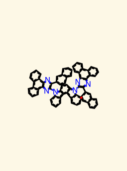 c1ccc2cc(-c3nc4c5ccccc5c5ccccc5c4nc3-n3c4ccccc4c4c5c6ccccc6n(-c6nc7c8ccccc8c8ccccc8c7nc6-c6ccc7ccccc7c6)c5ccc43)ccc2c1